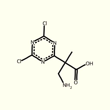 CC(CN)(C(=O)O)c1nc(Cl)nc(Cl)n1